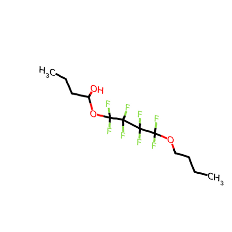 CCCCOC(F)(F)C(F)(F)C(F)(F)C(F)(F)OC(O)CCC